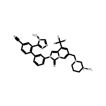 C[C@H]1CCCN(Cc2cc(C(F)(F)F)c3cn(-c4cccc(-c5ccc(C#N)cc5-c5nncn5C)c4)c(=O)n3c2)C1